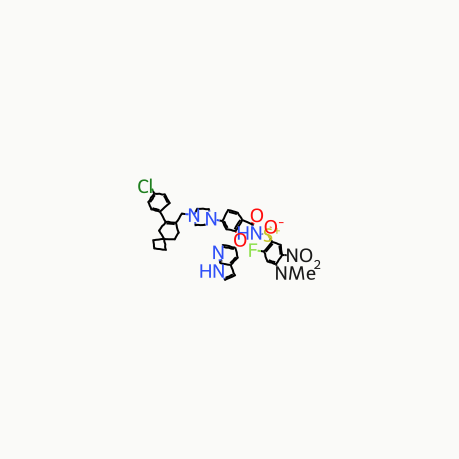 CNc1cc(F)c([S+]([O-])NC(=O)c2ccc(N3CCN(CC4=C(c5ccc(Cl)cc5)CC5(CCC5)CC4)CC3)cc2Oc2cnc3[nH]ccc3c2)cc1[N+](=O)[O-]